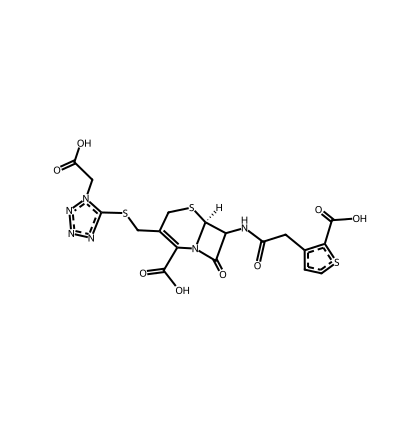 O=C(O)Cn1nnnc1SCC1=C(C(=O)O)N2C(=O)C(NC(=O)Cc3ccsc3C(=O)O)[C@@H]2SC1